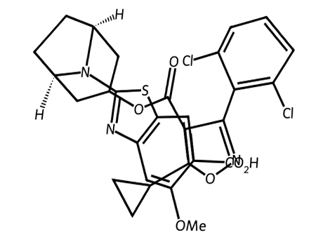 COc1cc2nc(N3[C@@H]4CC[C@H]3CC(OC(=O)c3c(-c5c(Cl)cccc5Cl)noc3C3CC3)C4)sc2cc1C(=O)O